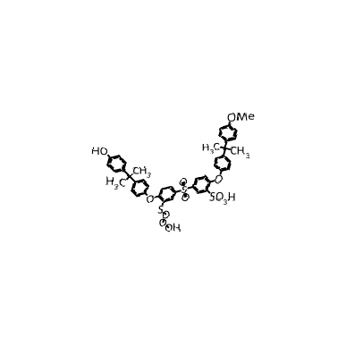 COc1ccc(C(C)(C)c2ccc(Oc3ccc(S(=O)(=O)c4ccc(Oc5ccc(C(C)(C)c6ccc(O)cc6)cc5)c(SOOO)c4)cc3S(=O)(=O)O)cc2)cc1